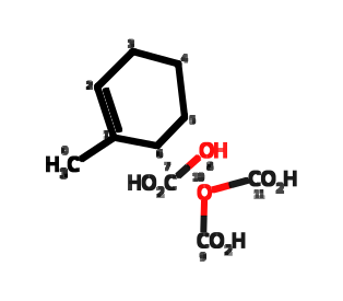 CC1=CCCCC1.O=C(O)O.O=C(O)OC(=O)O